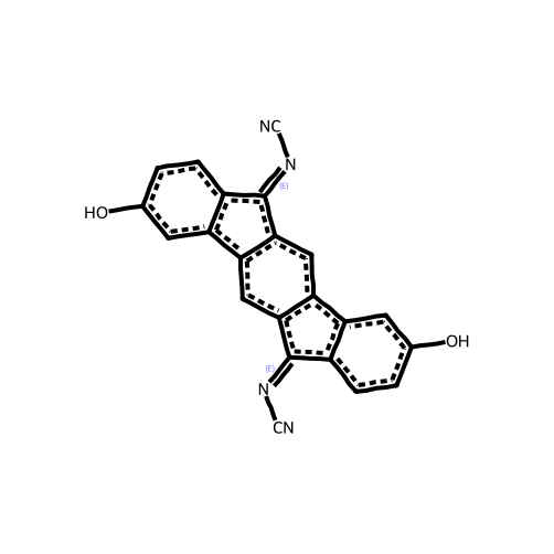 N#C/N=c1\c2ccc(O)cc2c2cc3/c(=N/C#N)c4ccc(O)cc4c3cc12